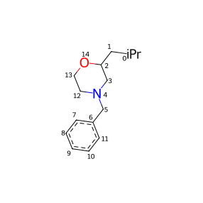 CC(C)CC1CN(Cc2ccccc2)CCO1